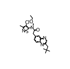 CCOCN(C(=O)Cc1ccc2nc(CC(C)(C)C)cnc2c1)c1snc(C)c1Cl